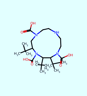 CC(C)(C)C1C(C(C)(C)C)N(C(=O)O)C(C(C)(C)C)CN(C(=O)O)CCNCCN1C(=O)O